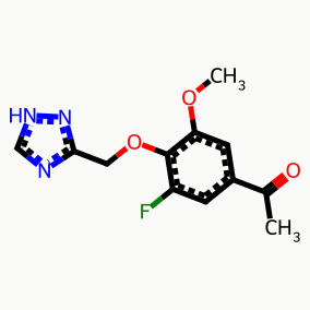 COc1cc(C(C)=O)cc(F)c1OCc1nc[nH]n1